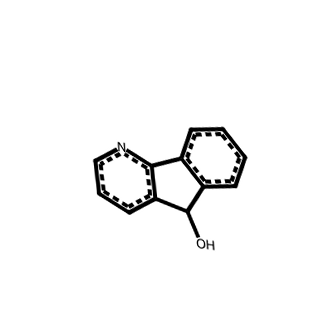 OC1c2ccccc2-c2ncccc21